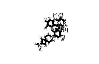 COc1cc(N2CCC3(CC2)CC(N(C)C)C3)c(C)cc1Nc1ncc(Cl)c(Nc2cc(C)c(C)cc2P(C)(C)=O)n1